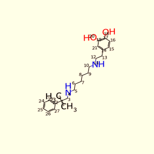 CC(C)(CNCCCCCCNCCc1ccc(O)c(O)c1)c1ccccc1